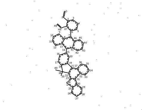 C=Cc1cccc(-c2c3ccccc3c(-c3ccc4c(c3)-c3c(c5sc6ccccc6c5c5ccccc35)C4(C)C)c3ccccc23)c1C=C